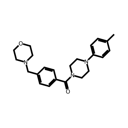 Cc1ccc(N2CCN(C(=O)c3ccc(CN4CCOCC4)cc3)CC2)cc1